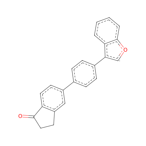 O=C1CCc2cc(-c3ccc(-c4[c]oc5ccccc45)cc3)ccc21